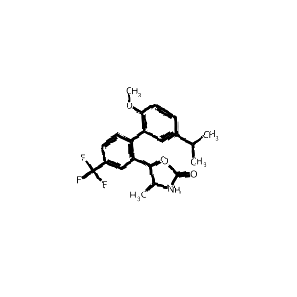 COc1ccc(C(C)C)cc1-c1ccc(C(F)(F)F)cc1C1OC(=O)NC1C